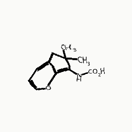 CC1(C)CC2=CC=COC2=C1NC(=O)O